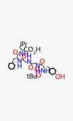 CC(C)C[C@H](NC(=O)[C@H](Cc1ccccc1)NC(=O)CNC(=O)CNC(=O)[C@H](Cc1ccc(O)cc1)NC(=O)OC(C)(C)C)C(=O)O